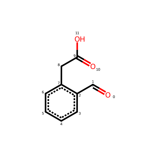 O=[C]c1ccccc1CC(=O)O